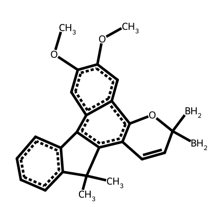 BC1(B)C=Cc2c3c(c4cc(OC)c(OC)cc4c2O1)-c1ccccc1C3(C)C